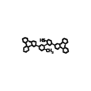 Cc1ccc(-c2ccc3c4ccccc4c4ccccc4c3c2)cc1-c1cc(-c2ccc3c4ccccc4c4ccccc4c3c2)ccc1S